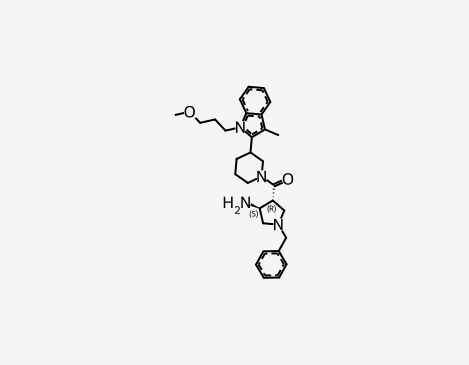 COCCCn1c(C2CCCN(C(=O)[C@@H]3CN(Cc4ccccc4)C[C@H]3N)C2)c(C)c2ccccc21